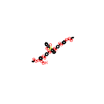 C=CC(=O)OCOc1ccc(OC(=O)C2CCC(C(=O)Oc3c4c(c(OC(=O)C5CCC(C(=O)Oc6ccc(OCOC(=O)C=C)c(OCO)c6)CC5)c5ccccc35)SC(=C3C(=O)c5ccccc5C3=O)S4)CC2)cc1